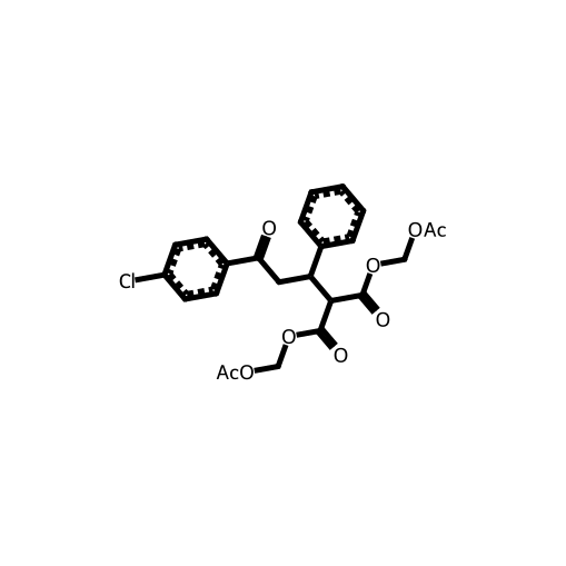 CC(=O)OCOC(=O)C(C(=O)OCOC(C)=O)C(CC(=O)c1ccc(Cl)cc1)c1ccccc1